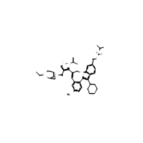 CCN1C[C@@H]2CC1CN2C(=O)c1cnn(C(C)C)c1C1=Cc2cc(OC)ccc2-c2c(C3CCCCC3)c3ccc(C(=O)NS(=O)(=O)C(C)C)cc3n2C1